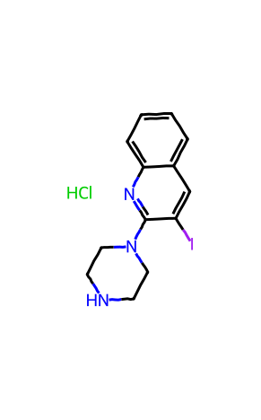 Cl.Ic1cc2ccccc2nc1N1CCNCC1